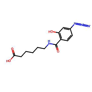 [N-]=[N+]=Nc1ccc(C(=O)NCCCCCC(=O)O)c(O)c1